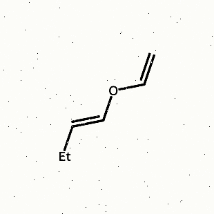 C=COC=CCC